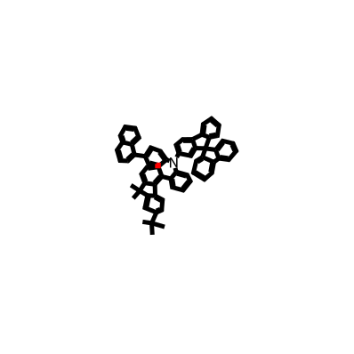 CC(C)(C)c1ccc2c(c1)C(C)(C)c1cccc(-c3ccccc3N(c3ccc(-c4cccc5ccccc45)cc3)c3ccc4c(c3)C3(c5ccccc5-c5ccccc53)c3ccccc3-4)c1-2